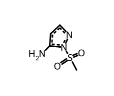 CS(=O)(=O)n1nccc1N